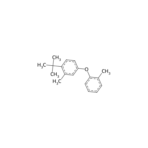 Cc1ccccc1Oc1ccc(C(C)(C)C)c(C)c1